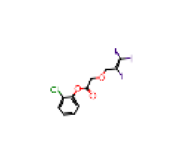 O=C(COCC(I)=C(I)I)Oc1ccccc1Cl